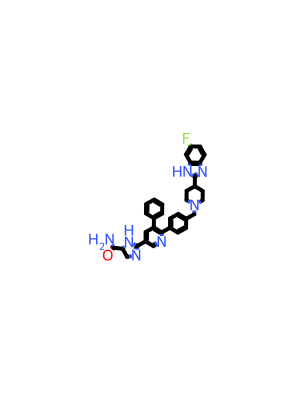 NC(=O)C1CN=C(c2cnc(-c3ccc(CN4CCC(c5nc6ccc(F)cc6[nH]5)CC4)cc3)c(-c3ccccc3)c2)N1